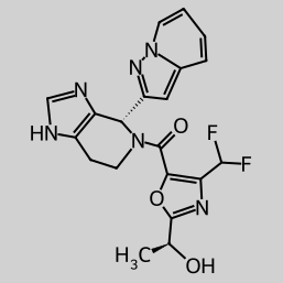 C[C@H](O)c1nc(C(F)F)c(C(=O)N2CCc3[nH]cnc3[C@@H]2c2cc3ccccn3n2)o1